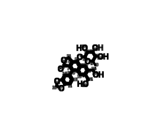 C[C@H]1OC(Oc2c3c(c(-c4ccc5c(c4)OCO5)c4cc(CO)c(CO)cc24)C(=O)OC3)[C@H](O)[C@@H](O)[C@H]1O